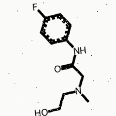 CN(CCO)CC(=O)Nc1ccc(F)cc1